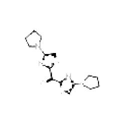 O=C(c1nc(N2CCCC2)cs1)c1nc(N2CCCC2)cs1